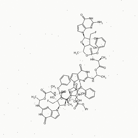 CC(C)OC(=O)[C@H](C)NP(=O)(Oc1ccccc1)O[C@H](C)[C@H]1O[C@@H](n2ccc3c(=O)[nH]c(NC(C)OC(=O)[C@H](C)N[P@@](=O)(Oc4ccccc4)O[C@H](C)[C@H]4O[C@@H](n5ccc6c(=O)[nH]c(NC(C)OC(=O)[C@H](C)N[P@](=O)(Oc7ccccc7)O[C@H](C)[C@H]7O[C@@H](n8ccc9c(=O)[nH]c(N)nc98)[C@@](O)(CF)C7O)nc65)[C@@](O)(CF)C4O)nc32)[C@@](O)(CF)C1O